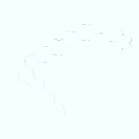 CCCCCNc1nc(N)nc2ccn(Cc3ccc(CN4CCN(CCN5C(=O)C=CC5=O)CC4)cc3OC)c12